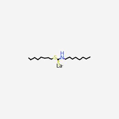 CCCCCCCCNC(=S)SCCCCCCCC.[La]